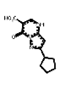 O=C(O)c1c[nH]c2cc(C3CCCC3)nn2c1=O